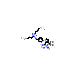 CCCCc1nc(CCCC)n(Cc2ccc(-n3ccc(C(C)(C)C)c3-c3nnn[nH]3)cc2)n1